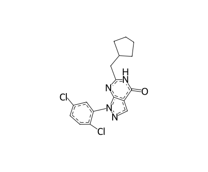 O=c1[nH]c(CC2CCCC2)nc2c1cnn2-c1cc(Cl)ccc1Cl